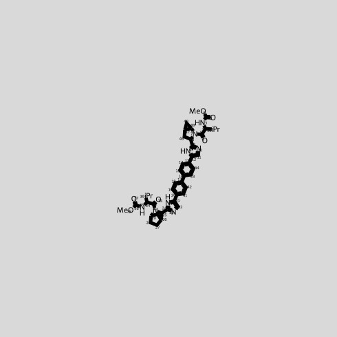 COC(=O)NC(C(=O)N1C(c2ncc(-c3ccc(-c4ccc(-c5cnc(C6C7CCC(C7)N6C(=O)C(NC(=O)OC)C(C)C)[nH]5)cc4)cc3)[nH]2)CC2CC21)C(C)C